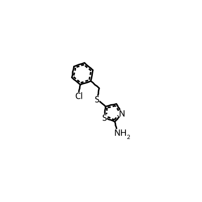 Nc1ncc(SCc2ccccc2Cl)s1